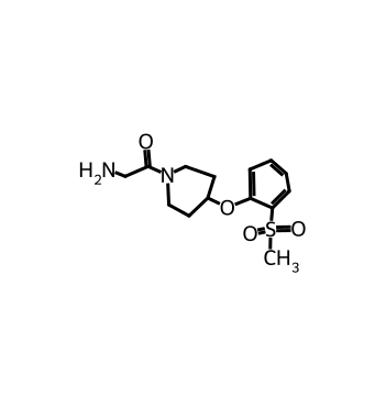 CS(=O)(=O)c1ccccc1OC1CCN(C(=O)CN)CC1